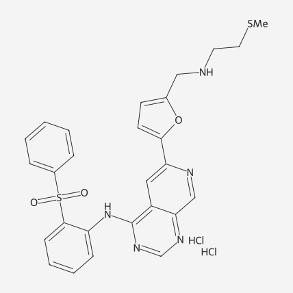 CSCCNCc1ccc(-c2cc3c(Nc4ccccc4S(=O)(=O)c4ccccc4)ncnc3cn2)o1.Cl.Cl